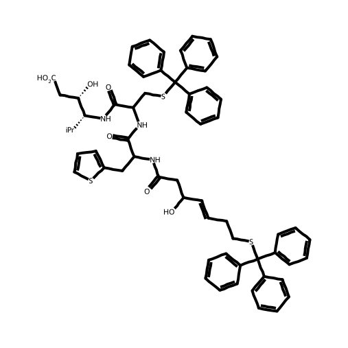 CC(C)[C@@H](NC(=O)C(CSC(c1ccccc1)(c1ccccc1)c1ccccc1)NC(=O)C(Cc1cccs1)NC(=O)CC(O)C=CCCSC(c1ccccc1)(c1ccccc1)c1ccccc1)[C@@H](O)CC(=O)O